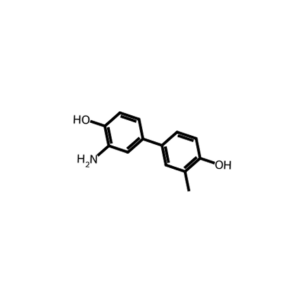 Cc1cc(-c2ccc(O)c(N)c2)ccc1O